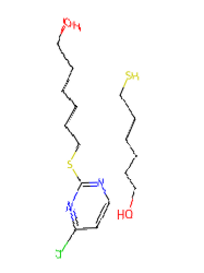 OCCCCCCS.OCCCCCCSc1nccc(Cl)n1